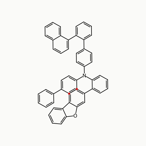 c1ccc(-c2ccc(N(c3ccc(-c4ccccc4-c4cccc5ccccc45)cc3)c3ccccc3-c3ccc4c(c3)oc3ccccc34)cc2)cc1